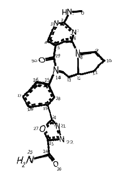 CNc1ncc2c(n1)N1CCCC1CN(c1cccc(-c3nnc(C(N)=O)o3)c1)C2=O